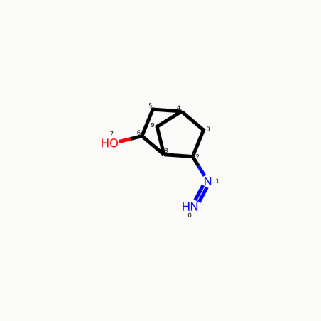 N=NC1CC2CC(O)C1C2